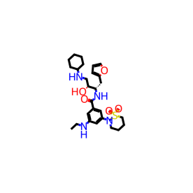 CCNc1cc(C(=O)N[C@@H](Cc2ccco2)[C@H](O)CNC2CCCCC2)cc(N2CCCCS2(=O)=O)c1